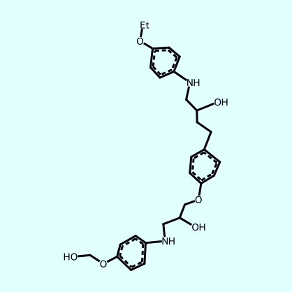 CCOc1ccc(NCC(O)CCc2ccc(OCC(O)CNc3ccc(OCO)cc3)cc2)cc1